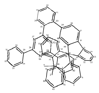 CC1(C)c2ccccc2C2(c3ccccc3-c3ccc(-c4ccccc4-c4nc(-c5ccccc5)nc(-c5cccc6ccccc56)n4)cc32)c2ccccc21